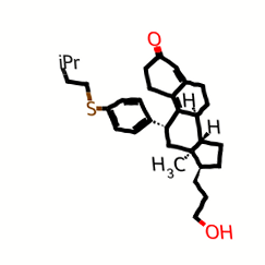 CC(C)CCSc1ccc([C@H]2C[C@]3(C)[C@H](CCCO)CC[C@H]3[C@@H]3CCC4=CC(=O)CCC4=C32)cc1